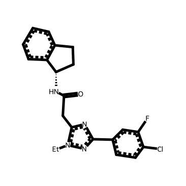 CCn1nc(-c2ccc(Cl)c(F)c2)nc1CC(=O)N[C@H]1CCc2ccccc21